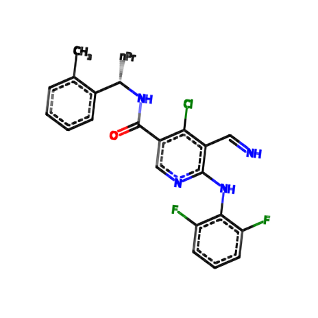 CCC[C@H](NC(=O)c1cnc(Nc2c(F)cccc2F)c(C=N)c1Cl)c1ccccc1C